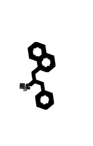 C[C](Cc1ccccc1)Cc1cccc2ccccc12